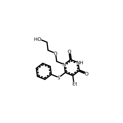 CCc1c(Sc2ccccc2)n(COCCO)c(=O)[nH]c1=O